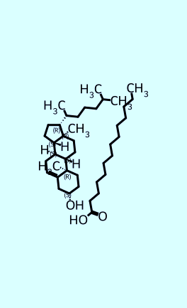 CC(C)CCCC(C)[C@H]1CC[C@H]2[C@@H]3CC=C4C[C@@H](O)CC[C@]4(C)[C@H]3CC[C@]12C.CCCCCCCCCCCCCC(=O)O